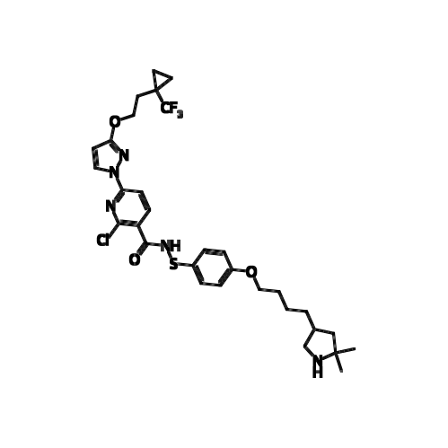 CC1(C)CC(CCCCOc2ccc(SNC(=O)c3ccc(-n4ccc(OCCC5(C(F)(F)F)CC5)n4)nc3Cl)cc2)CN1